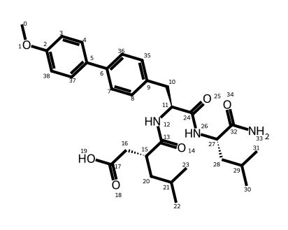 COc1ccc(-c2ccc(C[C@H](NC(=O)[C@@H](CC(=O)O)CC(C)C)C(=O)N[C@@H](CC(C)C)C(N)=O)cc2)cc1